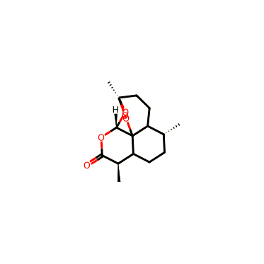 C[C@@H]1CCC2[C@@H](C)C(=O)O[C@@H]3O[C@]4(C)CCC1C23OO4